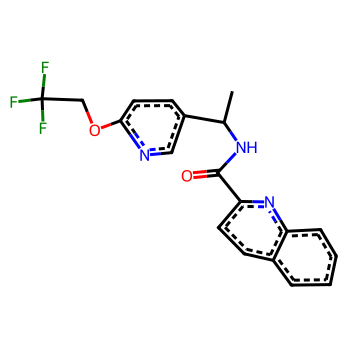 CC(NC(=O)c1ccc2ccccc2n1)c1ccc(OCC(F)(F)F)nc1